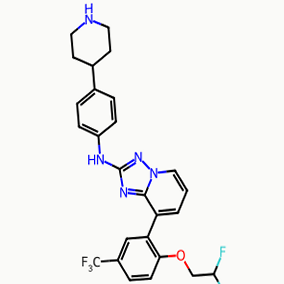 FC(F)COc1ccc(C(F)(F)F)cc1-c1cccn2nc(Nc3ccc(C4CCNCC4)cc3)nc12